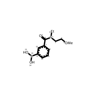 CCN(CCOC)C(=O)c1cccc(B(O)O)c1